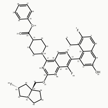 CCc1c(F)ccc2cc(O)cc(-c3ncc4c(N5CCC(C(=O)Oc6ccccc6)CC5)nc(OC[C@@]56CCCN5C[C@H](F)C6)nc4c3F)c12